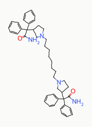 NC(=O)C(c1ccccc1)(c1ccccc1)C1CCN(CCCCCCCCN2CCC(C(C(N)=O)(c3ccccc3)c3ccccc3)C2)C1